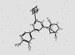 Nc1ncc(-c2cc(N3C[C@@H]4C[C@H]3CO4)nc(N3CC4CC3C4)n2)cc1Cl